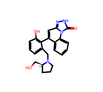 O=c1[nH]nc2cc(-c3c(O)cccc3CN3CCC[C@H]3CO)c3ccccc3n12